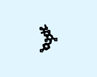 COC(=O)C(C)(C)CN1C(=O)CC(Cl)N(Cc2ccc(Cl)cc2)C1=O